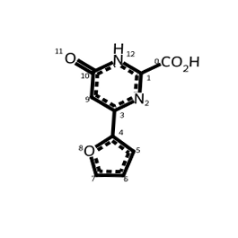 O=C(O)c1nc(-c2ccco2)cc(=O)[nH]1